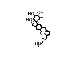 CNCOCc1ccc(Cc2cc3c(cc2Cl)CO[C@]32O[C@H](C)[C@@H](O)[C@H](O)[C@H]2O)s1